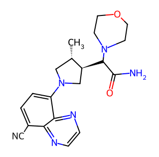 C[C@H]1CN(c2ccc(C#N)c3nccnc23)C[C@@H]1C(C(N)=O)N1CCOCC1